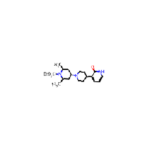 CCOC(=O)N1C(C)CC(N2CCC(c3ccc[nH]c3=O)CC2)CC1C